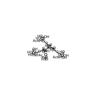 CC(=O)NC1C(OCCOCCNC(=O)CCC(NC(=O)CCC(NC(=O)[C@H]2CC[C@@H](OP(=O)(S)C(C)C)CC2)C(=O)NCCOCCOC2OC(CO)C(O)C(O)C2NC(C)=O)C(=O)NCCOCCOC2OC(CO)C(O)C(O)C2NC(C)=O)OC(CO)C(O)C1O